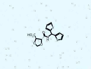 O=C(O)[C@@H]1OCO[C@H]1C(=O)NC(c1cccs1)c1cccs1